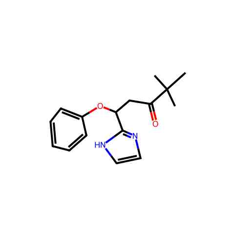 CC(C)(C)C(=O)CC(Oc1ccccc1)c1ncc[nH]1